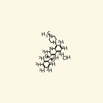 Cl.[2H]c1nc2c(N3CCN(C)CC3)c([2H])c([2H])c([2H])c2c([2H])c1S(=O)(=O)c1c([2H])c([2H])c([2H])c([2H])c1[2H]